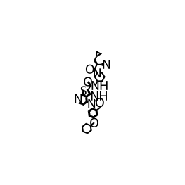 Cc1cc(OC2CCCCC2)ccc1N1C(=O)Nc2c(C(=O)NC3CCCN(C(=O)C(C#N)=CC4CC4)C3)sc3nccc1c23